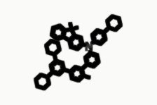 Cc1ccc(-c2cc(C3CCCCC3)cc(C3CCCCC3)c2)cc1-c1cccc(N(c2ccc(C3CCCCC3)cc2)c2ccc3c(c2)C(C)(C)c2ccccc2-3)c1